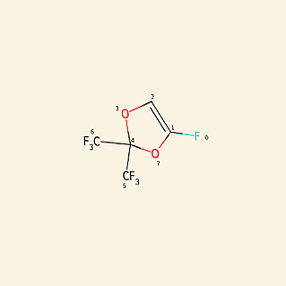 FC1=COC(C(F)(F)F)(C(F)(F)F)O1